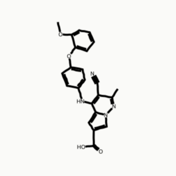 COc1ccccc1Oc1ccc(Nc2c(C#N)c(C)nn3cc(C(=O)O)cc23)cc1